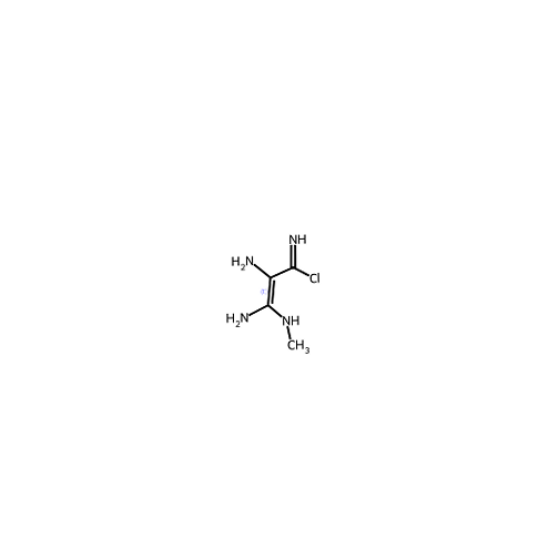 CN/C(N)=C(/N)C(=N)Cl